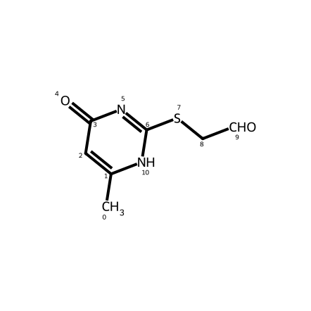 Cc1cc(=O)nc(SCC=O)[nH]1